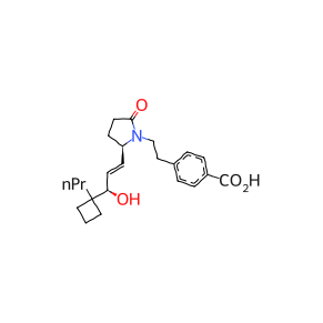 CCCC1([C@H](O)C=C[C@H]2CCC(=O)N2CCc2ccc(C(=O)O)cc2)CCC1